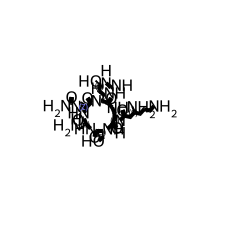 N=C1NC([C@@H]2NC(=O)/C(=C/NC(N)=O)NC(=O)[C@H](CN)NC(=O)[C@H](CO)NC(=O)[C@@H](NC(=O)C[C@@H](N)CCCN)CNC2=O)C[C@@H](O)N1